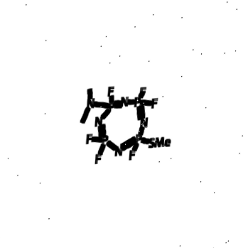 CSP1(F)=NP(F)(F)=NP(F)(N(C)C)=NP(F)(F)=N1